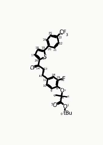 CC(C)(C)OC(=O)C(C)(C)Oc1ccc(CCC(=O)c2ccc(-c3ccc(C(F)(F)F)cc3)s2)cc1F